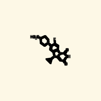 O=C(O)N1CCN(c2cc3c(cc2F)n2c(=O)[nH]c(=O)cc2n3C2CC2)CC1